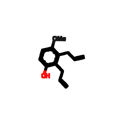 C=CCc1c(O)ccc(OC)c1CC=C